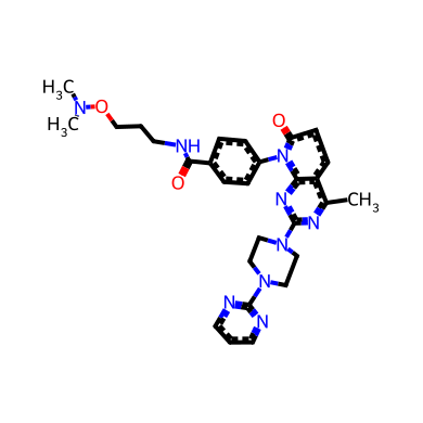 Cc1nc(N2CCN(c3ncccn3)CC2)nc2c1ccc(=O)n2-c1ccc(C(=O)NCCCON(C)C)cc1